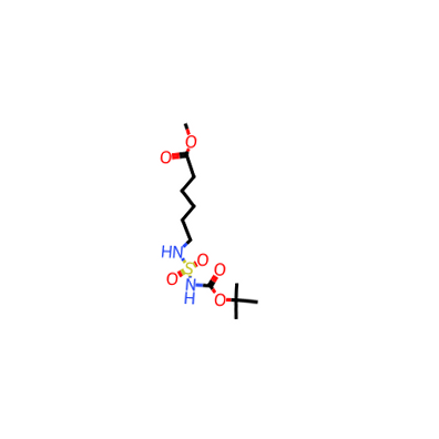 COC(=O)CCCCCNS(=O)(=O)NC(=O)OC(C)(C)C